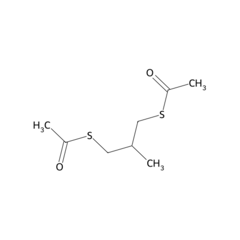 CC(=O)SCC(C)CSC(C)=O